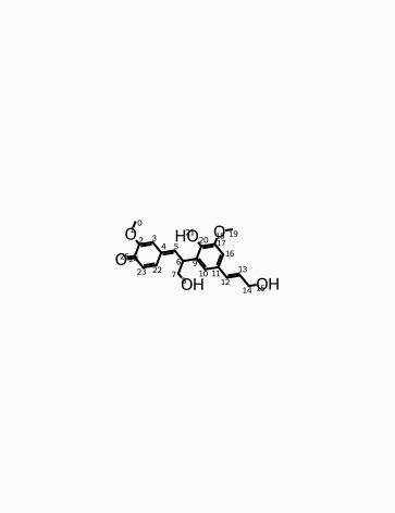 COC1=C/C(=C/C(CO)c2cc(/C=C/CO)cc(OC)c2O)C=CC1=O